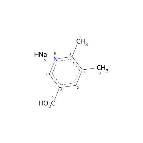 Cc1cc(C(=O)O)cnc1C.[NaH]